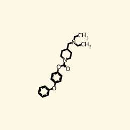 CCN(CC)CC1CCN(C(=O)Oc2ccc(Oc3ccccc3)cc2)CC1